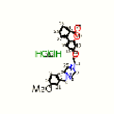 COc1cccc(CN2CCN(CCOc3ccc4c(c3)oc(=O)c3ccccc34)CC2)c1.Cl.Cl